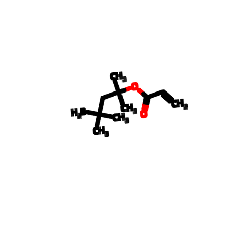 BC(C)(C)CC(C)(C)OC(=O)C=C